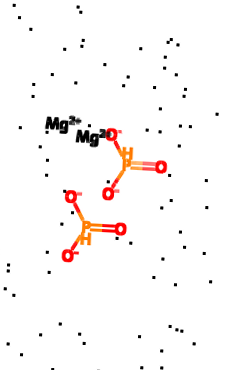 O=[PH]([O-])[O-].O=[PH]([O-])[O-].[Mg+2].[Mg+2]